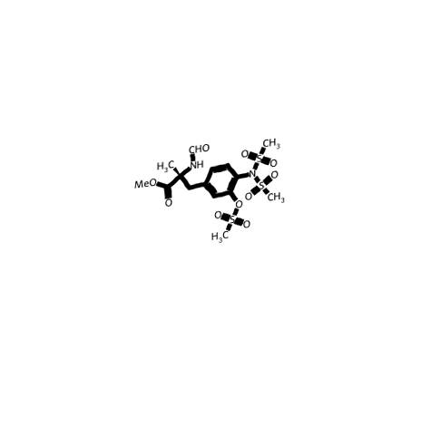 COC(=O)[C@@](C)(Cc1ccc(N(S(C)(=O)=O)S(C)(=O)=O)c(OS(C)(=O)=O)c1)NC=O